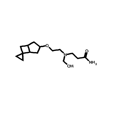 NC(=O)CCN(CO)CCOC1CC2CC3(CC3)C2C1